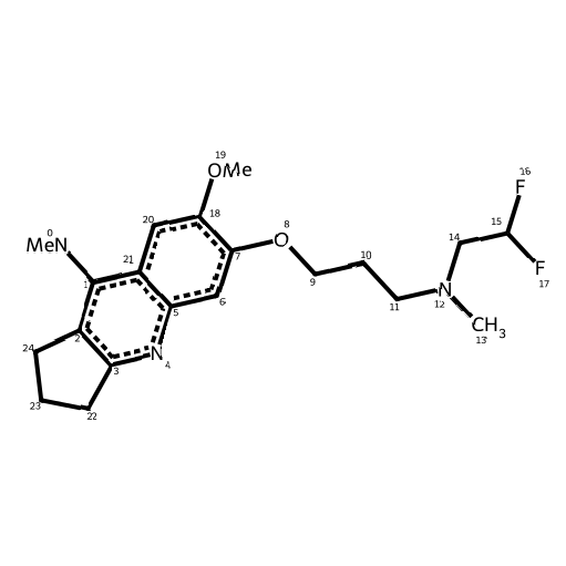 CNc1c2c(nc3cc(OCCCN(C)CC(F)F)c(OC)cc13)CCC2